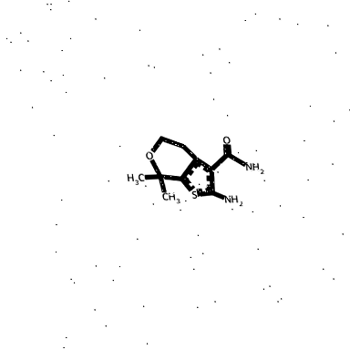 CC1(C)OCCc2c1sc(N)c2C(N)=O